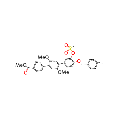 COC(=O)c1ccc(-c2cc(OC)c(-c3ccc(OCc4ccc(C)cc4)c(OS(C)(=O)=O)c3)cc2OC)cc1